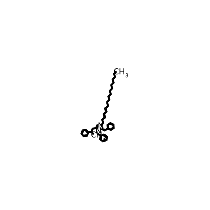 CCCCCCCCCCCCCCCCCCCn1cc(CC(C)c2ccccc2)[n+](Cc2ccccc2)c1Cc1ccccc1